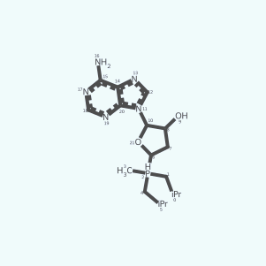 CC(C)C[PH](C)(CC(C)C)C1CC(O)C(n2cnc3c(N)ncnc32)O1